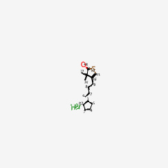 Br.C1CCCC1.CCCCC1=CSC(=O)C1(C)C